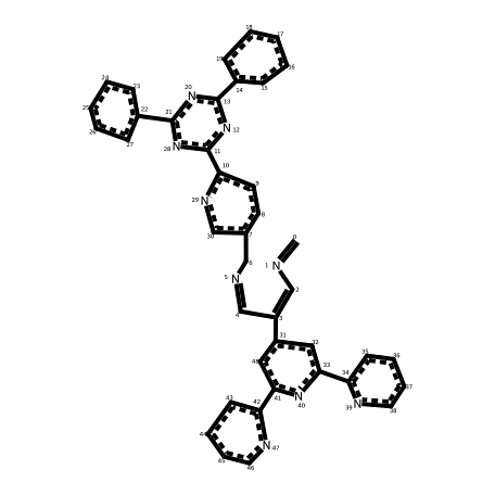 C=N/C=C(\C=N/Cc1ccc(-c2nc(-c3ccccc3)nc(-c3ccccc3)n2)nc1)c1cc(-c2ccccn2)nc(-c2ccccn2)c1